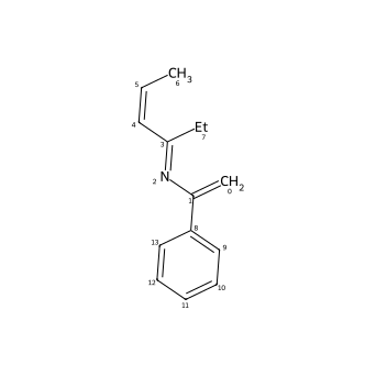 C=C(/N=C(/C=C\C)CC)c1ccccc1